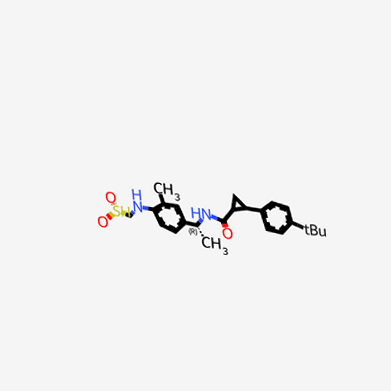 Cc1cc([C@@H](C)NC(=O)C2CC2c2ccc(C(C)(C)C)cc2)ccc1NC[SH](=O)=O